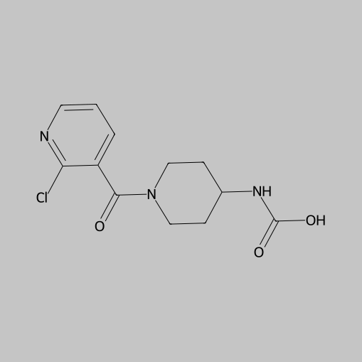 O=C(O)NC1CCN(C(=O)c2cccnc2Cl)CC1